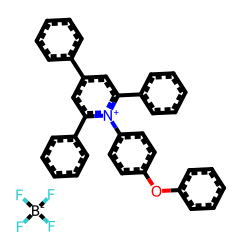 F[B-](F)(F)F.c1ccc(Oc2ccc(-[n+]3c(-c4ccccc4)cc(-c4ccccc4)cc3-c3ccccc3)cc2)cc1